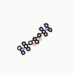 C1=Cc2c(c3ccccc3n2-c2c3ccccc3c(C3=CC4=C(CC3)c3ccc5c6c(ccc(c36)O4)Oc3cc(-c4c6ccccc6c(-n6c7ccccc7c7ccccc76)c6ccccc46)ccc3-5)c3ccccc23)CC1